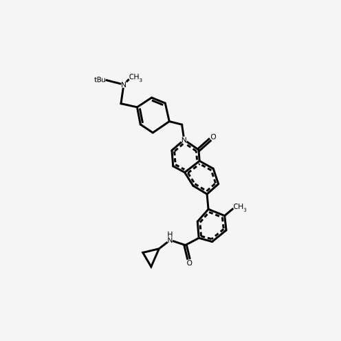 Cc1ccc(C(=O)NC2CC2)cc1-c1ccc2c(=O)n(CC3C=CC(CN(C)C(C)(C)C)=CC3)ccc2c1